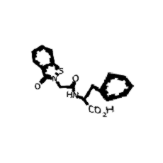 O=C(Cn1sc2ccccc2c1=O)NC(Cc1ccccc1)C(=O)O